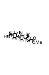 CC[C@H]1CN(c2ncc(C(=O)OC)nc2Br)CCN1C1CCN(B(C)O)CC1